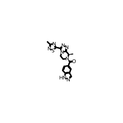 Cc1nsc(-c2nnc3n2CCN(C(=O)c2ccc4[nH]ncc4c2)[C@@H]3C)n1